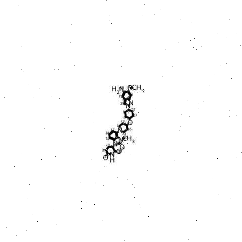 COc1cc2nn([C@H]3CC[C@H](OC4CCN(c5cccc6c5n(C)c(=O)n6C5CCC(=O)NC5=O)CC4)CC3)cc2cc1N